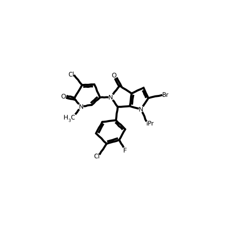 CC(C)n1c(Br)cc2c1C(c1ccc(Cl)c(F)c1)N(c1cc(Cl)c(=O)n(C)c1)C2=O